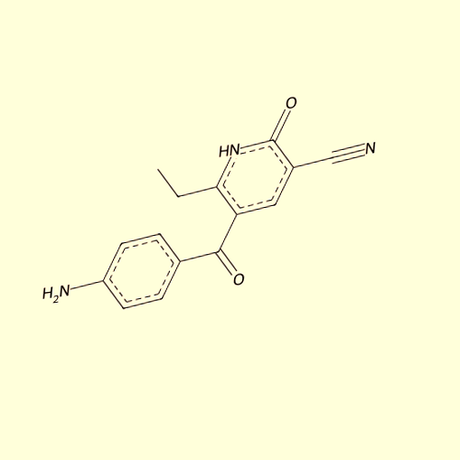 CCc1[nH]c(=O)c(C#N)cc1C(=O)c1ccc(N)cc1